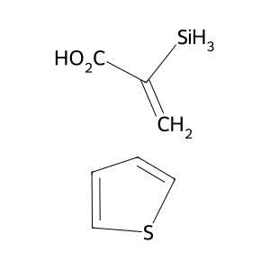 C=C([SiH3])C(=O)O.c1ccsc1